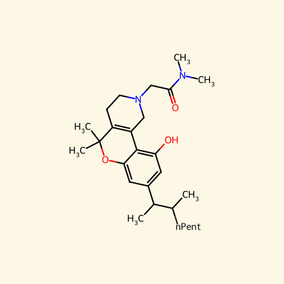 CCCCCC(C)C(C)c1cc(O)c2c(c1)OC(C)(C)C1=C2CN(CC(=O)N(C)C)CC1